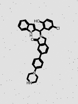 O=C1c2cc(-c3ccc(N4CCNCC4)cc3)ccc2CN1C(c1cc2ccccc2[nH]1)c1cc(Cl)ccc1O